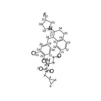 O=S(=O)(CC1CC1)NCCOc1ccc2c(c1)C(Cc1ccc(Cl)c(Cl)c1)C(N1CCC(F)C1)CC2